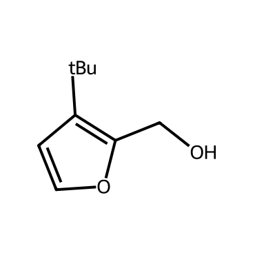 CC(C)(C)c1ccoc1CO